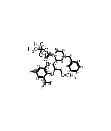 COC[C@H](C[C@@H]1CN(Cc2ccccc2)CCN1C(=O)OC(C)(C)C)Oc1c(Br)cc(F)cc1C(F)F